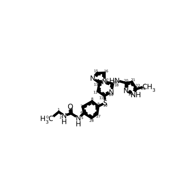 CCNC(=O)Nc1ccc(Sc2cc3nccn3c(Nc3cc(C)[nH]n3)n2)cc1